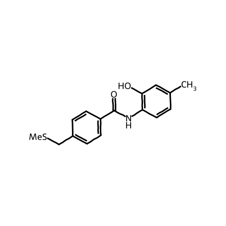 CSCc1ccc(C(=O)Nc2ccc(C)cc2O)cc1